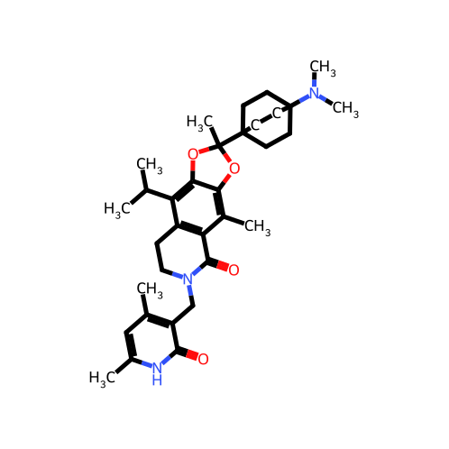 Cc1cc(C)c(CN2CCc3c(c(C)c4c(c3C(C)C)OC(C)(C35CCC(N(C)C)(CC3)CC5)O4)C2=O)c(=O)[nH]1